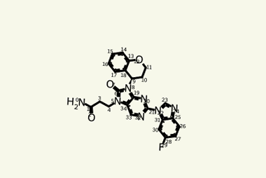 NC(=O)CCn1c(=O)n([C@@H]2CCOc3ccccc32)c2nc(-n3cnc4ccc(F)cc43)ncc21